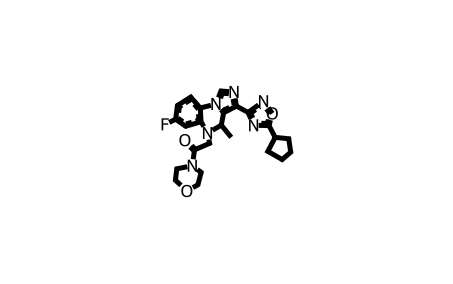 CC1c2c(-c3noc(C4CCCC4)n3)ncn2-c2ccc(F)cc2N1CC(=O)N1CCOCC1